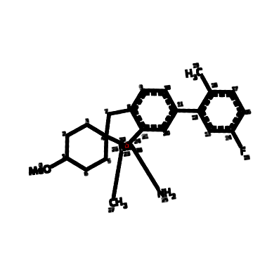 COC1CCC2(CC1)Cc1ccc(-c3cc(F)ccc3C)cc1C21N=C(N)N(C)O1